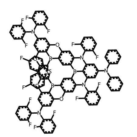 Fc1ccc2sc3c(c2c1)Oc1cc(N(c2c(F)cccc2F)c2c(F)cccc2F)cc2c1B3c1cc3c(cc1O2)N(c1c(F)cccc1F)c1cc(N(c2ccccc2)c2ccccc2)cc2c1B3c1cc3c(cc1N2c1c(F)cccc1F)Oc1cc(N(c2c(F)cccc2F)c2c(F)cccc2F)cc2c1B3c1sc3ccc(F)cc3c1O2